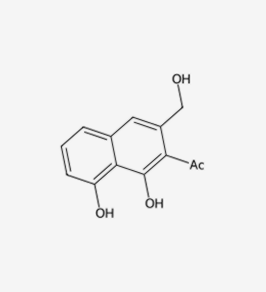 CC(=O)c1c(CO)cc2cccc(O)c2c1O